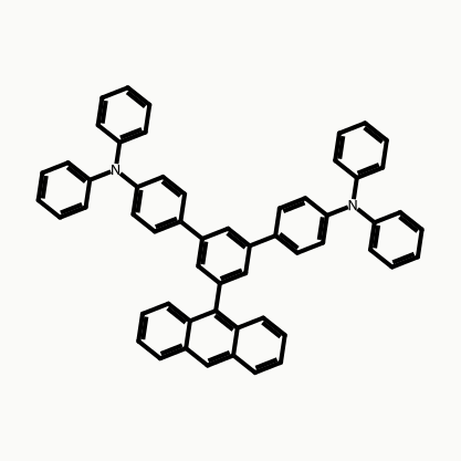 c1ccc(N(c2ccccc2)c2ccc(-c3cc(-c4ccc(N(c5ccccc5)c5ccccc5)cc4)cc(-c4c5ccccc5cc5ccccc45)c3)cc2)cc1